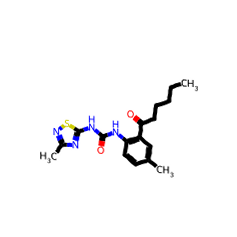 CCCCCC(=O)c1cc(C)ccc1NC(=O)Nc1nc(C)ns1